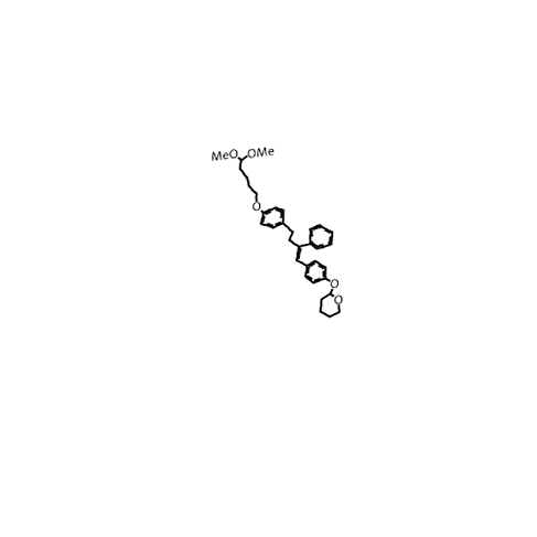 COC(CCCCOc1ccc(CCC(=Cc2ccc(OC3CCCCO3)cc2)c2ccccc2)cc1)OC